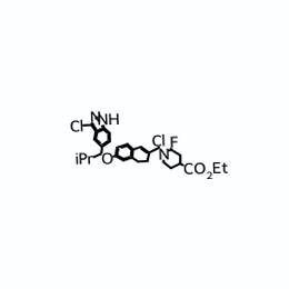 CCOC(=O)C1CCN(C(Cl)C2=Cc3ccc(OC(c4ccc5[nH]nc(Cl)c5c4)C(C)C)cc3CC2)C(F)C1